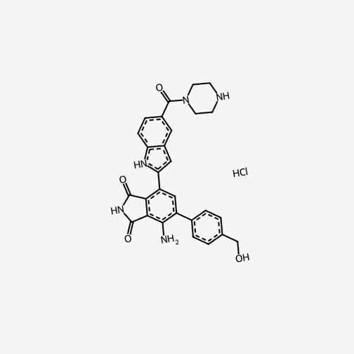 Cl.Nc1c(-c2ccc(CO)cc2)cc(-c2cc3cc(C(=O)N4CCNCC4)ccc3[nH]2)c2c1C(=O)NC2=O